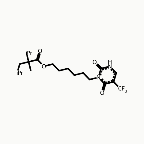 CC(C)CC(C)(C(=O)OCCCCCCn1c(=O)[nH]cc(C(F)(F)F)c1=O)C(C)C